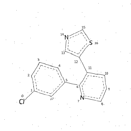 Clc1cccc(-c2ncccc2-c2cncs2)c1